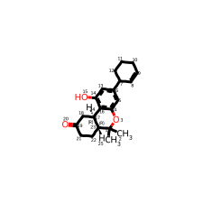 CC1(C)Oc2cc(C3C=CCCC3)cc(O)c2[C@@H]2CC(=O)CC[C@H]21